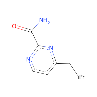 CC(C)Cc1ccnc(C(N)=O)n1